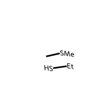 CCS.CSC